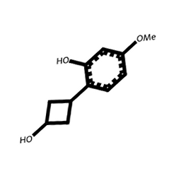 COc1ccc(C2CC(O)C2)c(O)c1